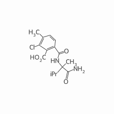 Cc1ccc(C(=O)NC(C)(C(N)=O)C(C)C)c(C(=O)O)c1Cl